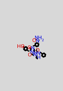 C=CCN1CC(=O)N2[C@@H](Cc3ccc(O)cc3)C(=O)N(Cc3cccc(N(C)C(N)=O)c3)C[C@@H]2N1C(=O)NCc1ccccc1